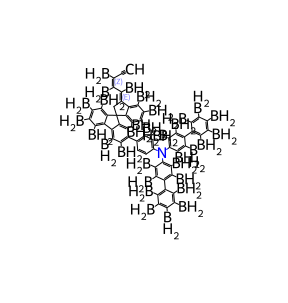 B/C(C#C)=C(B)/C(B)=C1\CC2(c3c(B)c(B)c(B)c(B)c31)c1c(B)c(B)c(B)c(B)c1-c1c(B)c(B)c(-c3ccc(N(c4c(B)c(B)c(-c5c(B)c(B)c(B)c(B)c5B)c(B)c4B)c4c(B)c(B)c(-c5c(B)c(B)c(B)c(B)c5B)c(B)c4B)c(B)c3)c(B)c12